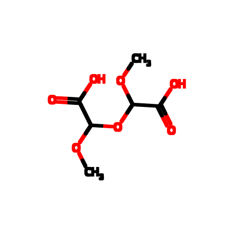 COC(OC(OC)C(=O)O)C(=O)O